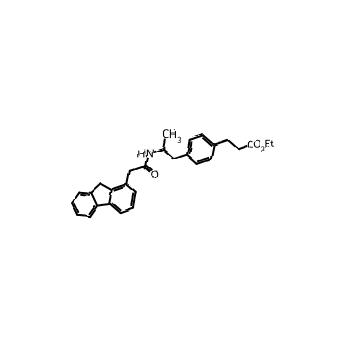 CCOC(=O)CCc1ccc(CC(C)NC(=O)Cc2cccc3c2Cc2ccccc2-3)cc1